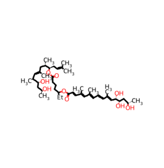 CCC(CCCC(=O)O[C@H](CC=C(C)C)[C@@H](C)C/C(C)=C/[C@@H](C)[C@H](O)C[C@@H](C)O)OC(=O)/C=C/C(C)=C/C(C)=C/C=C/C(C)=C/[C@H](O)[C@@H](O)C[C@H](C)O